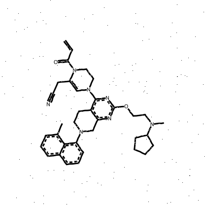 C=CC(=O)N1CCN(c2nc(OCCN(C)C3CCCC3)nc3c2CCN(c2cccc4cccc(C)c24)C3)C=C1CC#N